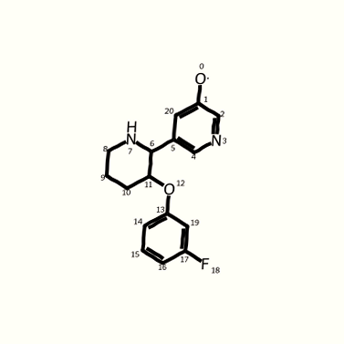 [O]c1cncc(C2NCCCC2Oc2cccc(F)c2)c1